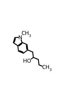 CCCC(O)Cc1ccc2ccn(C)c2c1